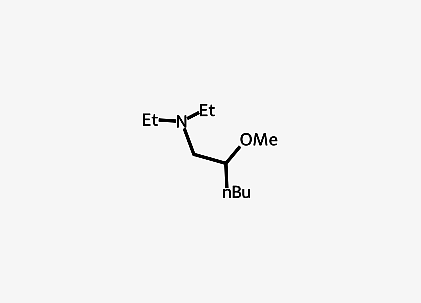 [CH2]CCCC(CN(CC)CC)OC